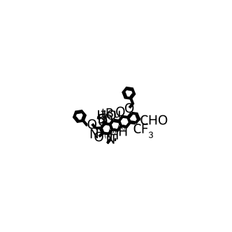 CN(C)[C@@H]1c2onc(OCc3ccccc3)c2C(=O)C2(O[Si](C)(C)C(C)(C)C)C(O)=C3C(=O)c4c(OCc5ccccc5)cc(C=O)c(C(F)(F)F)c4C[C@H]3C[C@@H]12